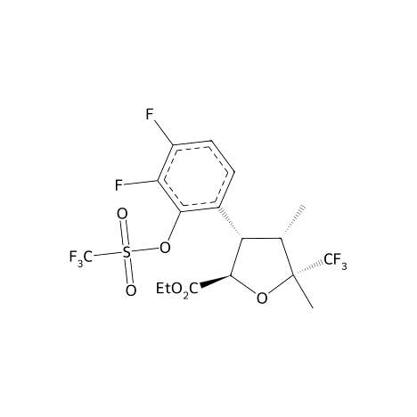 CCOC(=O)[C@@H]1O[C@@](C)(C(F)(F)F)[C@@H](C)[C@H]1c1ccc(F)c(F)c1OS(=O)(=O)C(F)(F)F